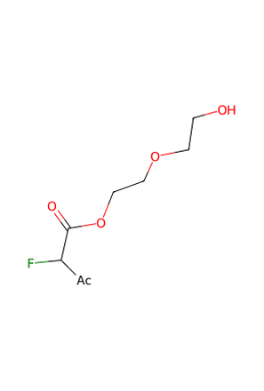 CC(=O)C(F)C(=O)OCCOCCO